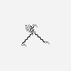 CCCCCCCCOP(=O)(OCCCCCCCC)OP(C)(C)(CC)CC